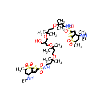 CCN[C@H]1C[C@H](C)S(=O)(=O)c2sc(S(=O)(=O)NCCC(C)(C)OCCC(C)(C)OCC(CO)COC(C)(C)CCOC(C)(C)CCNS(=O)(=O)c3cc4c(s3)S(=O)(=O)[C@@H](C)C[C@]4(C)NCC)cc21